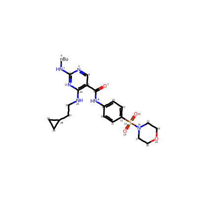 CCCCNc1ncc(C(=O)Nc2ccc(S(=O)(=O)N3CCOCC3)cc2)c(NCCC2CC2)n1